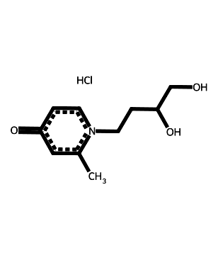 Cc1cc(=O)ccn1CCC(O)CO.Cl